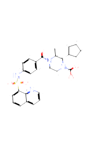 CC1[C@@H](C2CCCC2)N(C(=O)O)CCN1C(=O)c1ccc(NS(=O)(=O)c2cccc3cccnc23)cc1